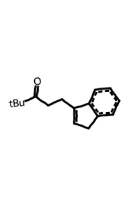 CC(C)(C)C(=O)CCC1=CCc2ccccc21